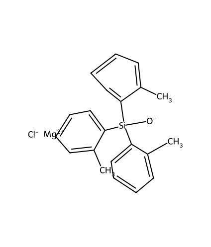 Cc1ccccc1[Si]([O-])(c1ccccc1C)c1ccccc1C.[Cl-].[Mg+2]